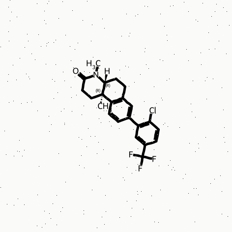 CN1C(=O)CC[C@]2(C)c3ccc(-c4cc(C(F)(F)F)ccc4Cl)cc3CC[C@@H]12